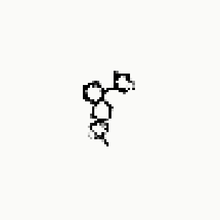 CC1=N[C@]2(CCc3c(cccc3-c3ccoc3)C2)CO1